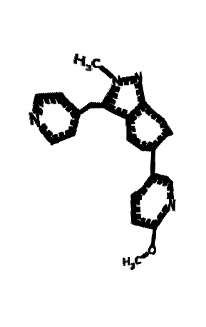 COc1ccc(-c2ccc3nn(C)c(-c4ccncc4)c3c2)cn1